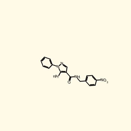 CCCc1c(C(=O)NCc2ccc([N+](=O)[O-])cc2)cnn1-c1ccccc1